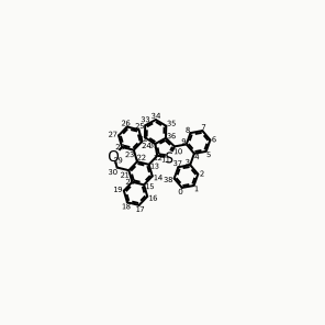 c1ccc(-c2ccccc2-c2sc(-c3cc4ccccc4c4c3-c3ccccc3OC4)c3ccccc23)cc1